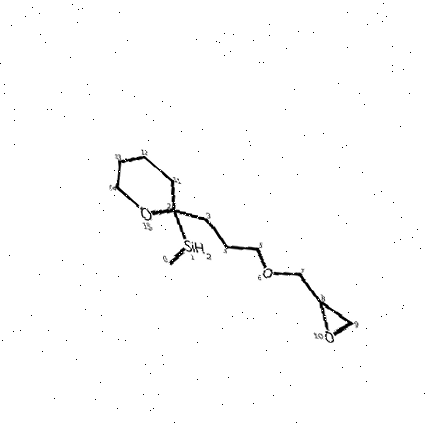 C[SiH2]C1(CCCOCC2CO2)CCCCO1